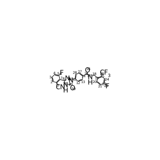 N#Cc1cccc(F)c1-c1nn(-c2ccc(C(=O)NCc3ccc(F)cc3C(F)(F)F)cc2)c(=O)[nH]1